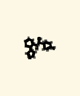 O=C(Nc1ccccc1-n1ccnc1)c1ccc(F)cc1